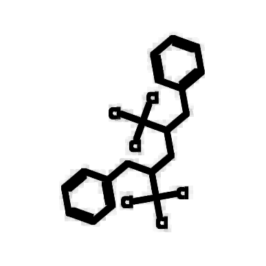 ClC(Cl)(Cl)C(Cc1ccccc1)CC(Cc1ccccc1)C(Cl)(Cl)Cl